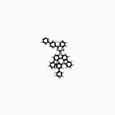 c1ccc(-c2ccc(-c3nc(-n4c5ccc6c7ccccc7oc6c5c5c4ccc4c6ccccc6n(-c6cccc(-c7ccccc7)c6)c45)nc4ccccc34)cc2)cc1